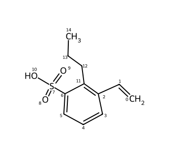 C=Cc1cccc(S(=O)(=O)O)c1CCC